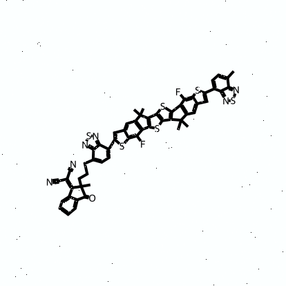 Cc1ccc(-c2cc3cc4c(c(F)c3s2)-c2sc3c5c(sc3c2C4(C)C)-c2c(cc3cc(-c4ccc(CCCC6(C)C(=O)c7ccccc7C6=C(C#N)C#N)c6nsnc46)sc3c2F)C5(C)C)c2nsnc12